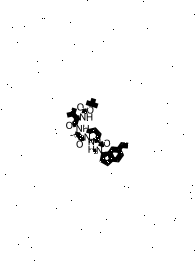 C=Cc1ccc2c(c1)[C@H](N(C)C(=O)[C@@H]1CCCN(C(=O)[C@H](C)NC(=O)C(NC(=O)OC(C)(C)C)C(C)C)N1)CC2